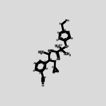 CC(NC(=O)C(C)(C)Oc1ccc(CF)cn1)C(CC1CC1)c1cccc(C#N)c1